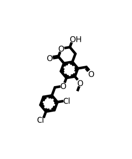 COc1c(OCc2ccc(Cl)cc2Cl)cc2c(c1C=O)CC(O)OC2=O